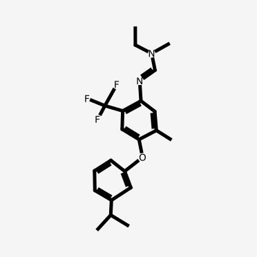 CCN(C)C=Nc1cc(C)c(Oc2cccc(C(C)C)c2)cc1C(F)(F)F